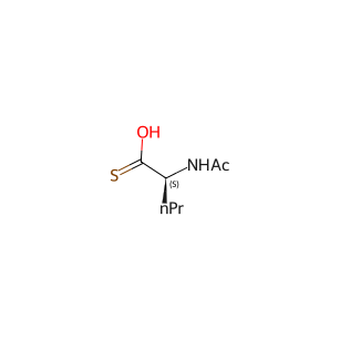 CCC[C@H](NC(C)=O)C(O)=S